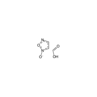 O=CO.[O-][n+]1ccno1